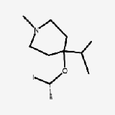 CC(C)C1(O[C@H](C)I)CCN(C)CC1